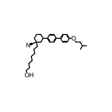 CC(C)CCOc1ccc(-c2ccc(C3CCCC(C#N)(CCCCCCCCO)C3)cc2)cc1